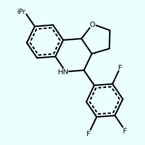 CC(C)c1ccc2c(c1)C1OCCC1C(c1cc(F)c(F)cc1F)N2